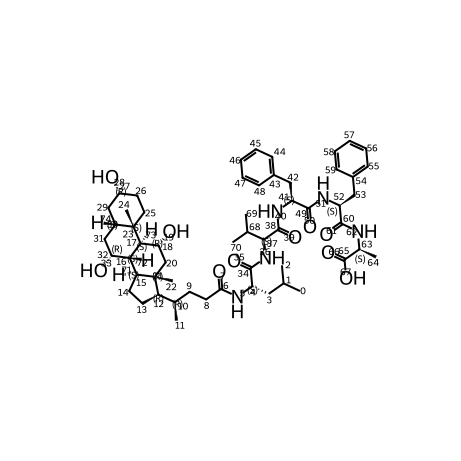 CC(C)C[C@H](NC(=O)CC[C@@H](C)[C@H]1CC[C@H]2[C@H]3[C@H]([C@H](O)C[C@]12C)[C@@]1(C)CC[C@@H](O)C[C@H]1C[C@H]3O)C(=O)N[C@H](C(=O)N[C@@H](Cc1ccccc1)C(=O)N[C@@H](Cc1ccccc1)C(=O)N[C@@H](C)C(=O)O)C(C)C